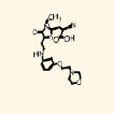 CCN1C(=O)C(CCNc2cccc(OCCN3CCOCC3)c2)SC1CC(C#N)C(=O)O